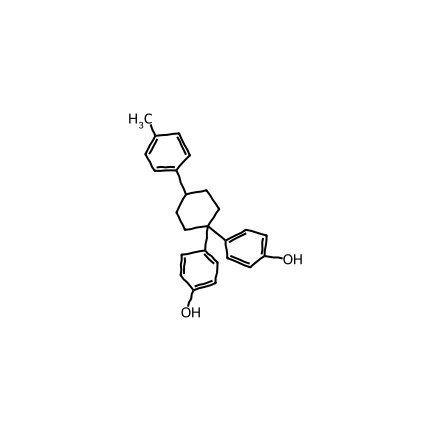 Cc1ccc(C2CCC(c3ccc(O)cc3)(c3ccc(O)cc3)CC2)cc1